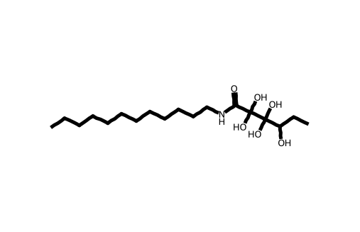 CCCCCCCCCCCCNC(=O)C(O)(O)C(O)(O)C(O)CC